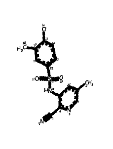 Cc1cnc(C#N)c(NS(=O)(=O)c2ccc(Cl)c(C)c2)c1